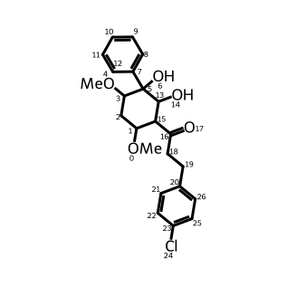 COC1CC(OC)C(O)(c2ccccc2)C(O)C1C(=O)CCc1ccc(Cl)cc1